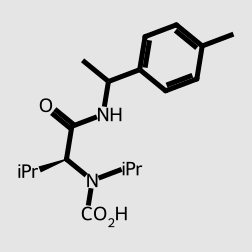 Cc1ccc(C(C)NC(=O)[C@H](C(C)C)N(C(=O)O)C(C)C)cc1